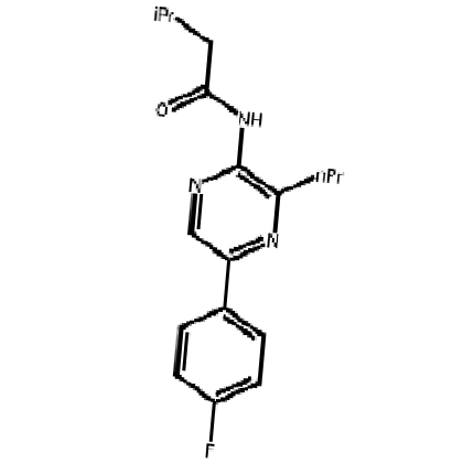 CCCc1nc(-c2ccc(F)cc2)cnc1NC(=O)CC(C)C